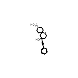 O=C(O)N1CCC2(CC1)CC(O)(C#Cc1ccccc1)CCO2